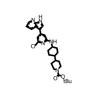 CC(C)(C)OC(=O)N1CCC(C2CCC(Nc3cc(-c4c[nH]c5ncccc45)cc(Cl)n3)CC2)CC1